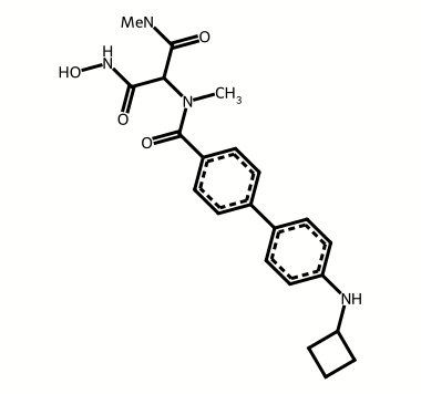 CNC(=O)C(C(=O)NO)N(C)C(=O)c1ccc(-c2ccc(NC3CCC3)cc2)cc1